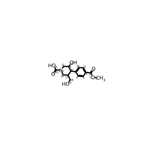 COC(=O)c1ccc(C2C(O)CN(C(=O)O)CC2CO)cc1